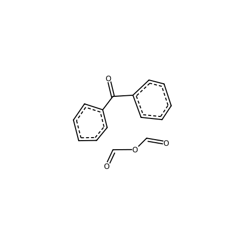 O=C(c1ccccc1)c1ccccc1.O=COC=O